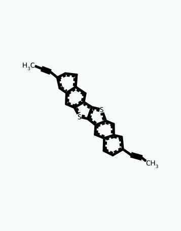 CC#Cc1ccc2cc3c(cc2c1)sc1c2cc4ccc(C#CC)cc4cc2sc31